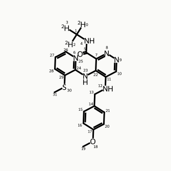 [2H]C([2H])([2H])NC(=O)c1nncc(NCc2ccc(OC)cc2)c1Nc1ncccc1SC